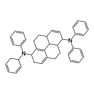 C1=CCC(N(c2ccccc2)C2CC=C3CCC4C5C3=C2CCC5C=CC4N(c2ccccc2)c2ccccc2)C=C1